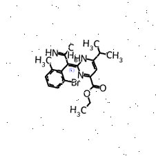 CCOC(=O)C1=N/C(=C(/C(C)=N)c2c(C)cccc2Br)NC(C(C)C)=C1